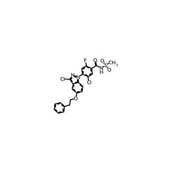 CS(=O)(=O)NC(=O)c1cc(Cl)c(-n2nc(Cl)c3cc(OCCc4ccccc4)ccc32)cc1F